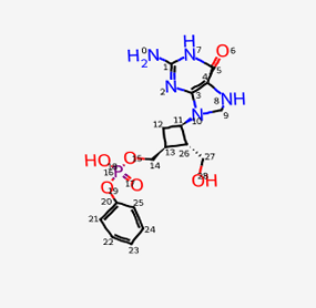 Nc1nc2c(c(=O)[nH]1)NCN2[C@@H]1C[C@H](COP(=O)(O)Oc2ccccc2)[C@H]1CO